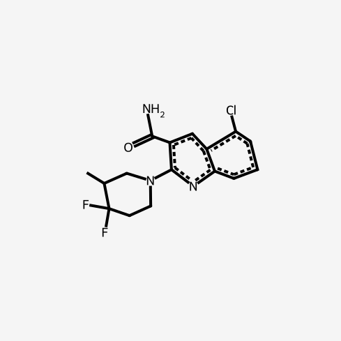 CC1CN(c2nc3cccc(Cl)c3cc2C(N)=O)CCC1(F)F